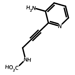 Nc1cccnc1C#CCNC(=O)O